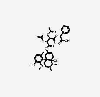 COc1c(O)ccc(C)c1[C@]12CCN(C)[C@H](C)[C@]1(O)CC=C(OC(=O)[C@H](OC(C)=O)[C@@H](OC(C)=O)C(=O)O[C@H](C(=O)O)c1ccccc1)C2